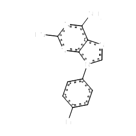 Nc1nc(N)c2ncn(-c3ccc(Br)cc3)c2n1